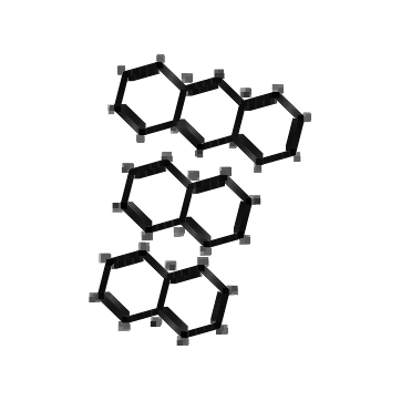 c1ccc2cc3ccccc3cc2c1.c1ccc2ccccc2c1.c1ccc2ccccc2c1